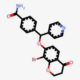 NC(=O)c1ccc(C(Oc2ccc3c(c2Br)OCCC3=O)c2ccncc2)cc1